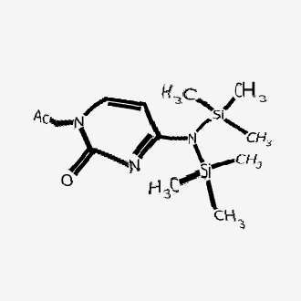 CC(=O)n1ccc(N([Si](C)(C)C)[Si](C)(C)C)nc1=O